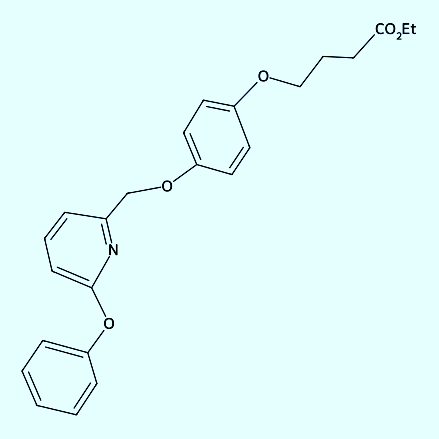 CCOC(=O)CCCOc1ccc(OCc2cccc(Oc3ccccc3)n2)cc1